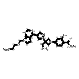 COC(=O)c1ccc(N2CC(CN)(n3cc(-c4ncnc5c4ccn5COCCSC)cn3)C2)cc1F